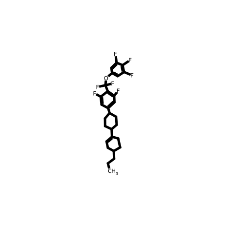 CCCC1CC=C(C2CCC(c3cc(F)c(C(F)(F)Oc4cc(F)c(F)c(F)c4)c(F)c3)CC2)CC1